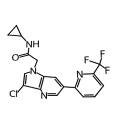 O=C(Cn1cc(Cl)c2ncc(-c3cccc(C(F)(F)F)n3)cc21)NC1CC1